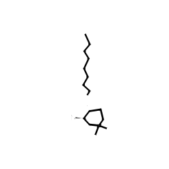 CCCCCCCCO[C@@H]1CCC(C)(C)C[C@H]1N